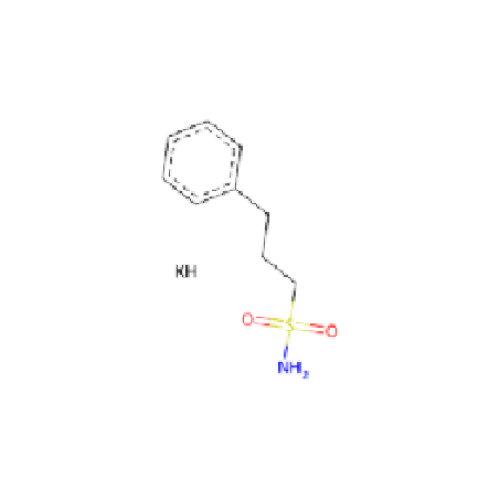 NS(=O)(=O)CCCc1ccccc1.[KH]